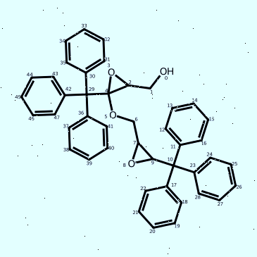 OCC1OC1(OCC1OC1C(c1ccccc1)(c1ccccc1)c1ccccc1)C(c1ccccc1)(c1ccccc1)c1ccccc1